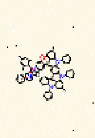 Cc1cc(C)c(N2c3cc4c(cc3B3c5ccccc5N(c5ccccc5)c5cc(C)cc2c53)B2c3cc5c(cc3N(c3ccccc3)c3cc(C)cc(c32)O4)N(c2ccccc2)c2cc(C)cc3c2B5c2ccccc2N3c2ccccc2)c(C)c1